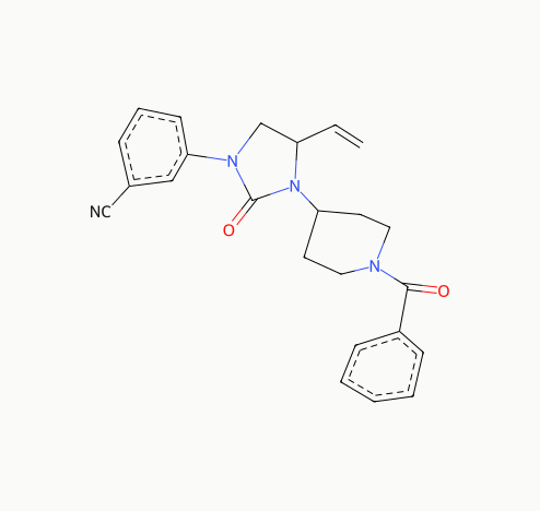 C=CC1CN(c2cccc(C#N)c2)C(=O)N1C1CCN(C(=O)c2ccccc2)CC1